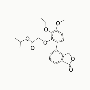 CCOc1c(OC)ccc(-c2cccc3c2COC3=O)c1OCC(=O)OC(C)C